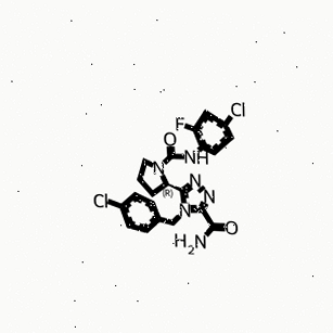 NC(=O)c1nnc([C@H]2CCCN2C(=O)Nc2ccc(Cl)cc2F)n1Cc1ccc(Cl)cc1